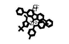 CCC1C=C(C(C)(C)C)C=[C]1[Zr+2](=[C](c1ccc(C)cc1)c1ccc(C)cc1)[CH]1c2cc(-c3ccccc3)ccc2-c2ccc(-c3ccccc3)cc21.[Cl-].[Cl-]